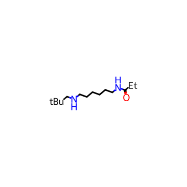 CCC(=O)NCCCCCCNCC(C)(C)C